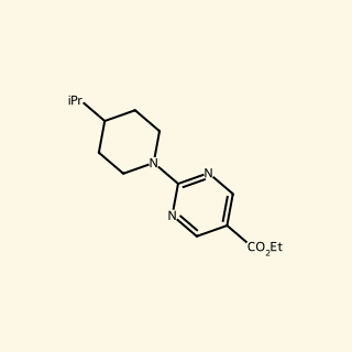 CCOC(=O)c1cnc(N2CCC(C(C)C)CC2)nc1